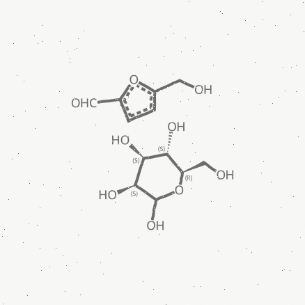 O=Cc1ccc(CO)o1.OC[C@H]1OC(O)[C@@H](O)[C@@H](O)[C@@H]1O